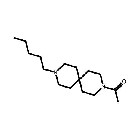 CCCCCN1CCC2(CC1)CCN(C(C)=O)CC2